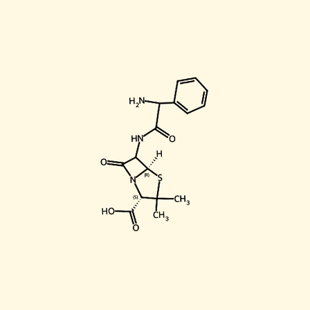 CC1(C)S[C@@H]2C(NC(=O)C(N)c3ccccc3)C(=O)N2[C@H]1C(=O)O